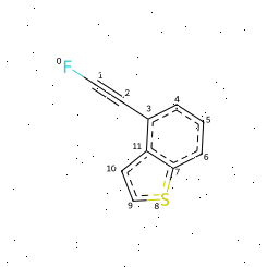 FC#Cc1[c]ccc2sccc12